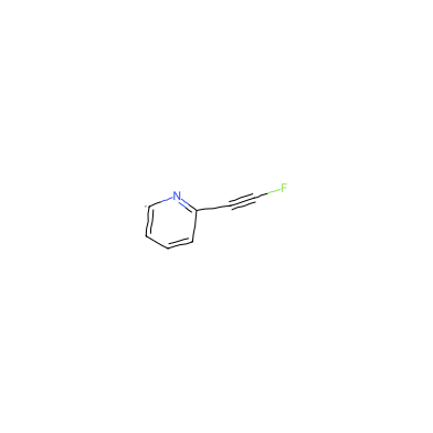 FC#Cc1ccc[c]n1